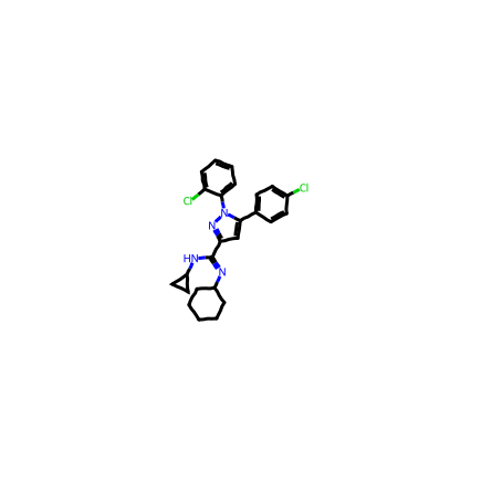 Clc1ccc(-c2cc(C(=NC3CCCCC3)NC3CC3)nn2-c2ccccc2Cl)cc1